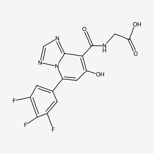 O=C(O)CNC(=O)c1c(O)cc(-c2cc(F)c(F)c(F)c2)n2ncnc12